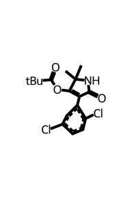 CC(C)(C)C(=O)OC1=C(c2cc(Cl)ccc2Cl)C(=O)NC1(C)C